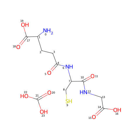 NC(CCC(=O)NC(CS)C(=O)NCC(=O)O)C(=O)O.O=C(O)O